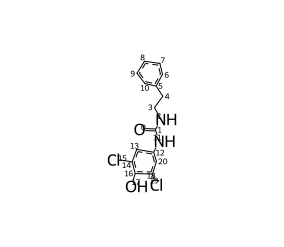 O=C(NCCc1ccccc1)Nc1cc(Cl)c(O)c(Cl)c1